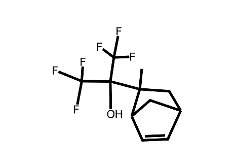 CC1(C(O)(C(F)(F)F)C(F)(F)F)CC2C=CC1C2